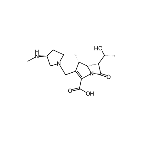 CN[C@H]1CCN(CC2=C(C(=O)O)N3C(=O)[C@@H]([C@@H](C)O)C3[C@H]2C)C1